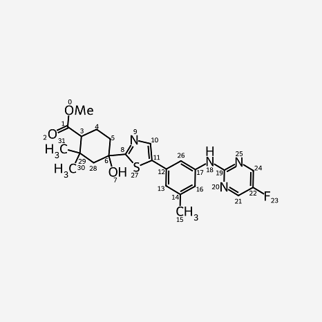 COC(=O)C1CCC(O)(c2ncc(-c3cc(C)cc(Nc4ncc(F)cn4)c3)s2)CC1(C)C